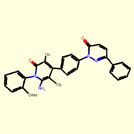 COc1ccccc1-n1c(N)c(C#N)c(-c2ccc(-n3nc(-c4ccccc4)ccc3=O)cc2)c(C#N)c1=O